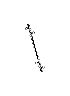 C=CC(=O)OCC(=O)OCCCCCCCCCCCCOC(=O)COC(=O)C=C